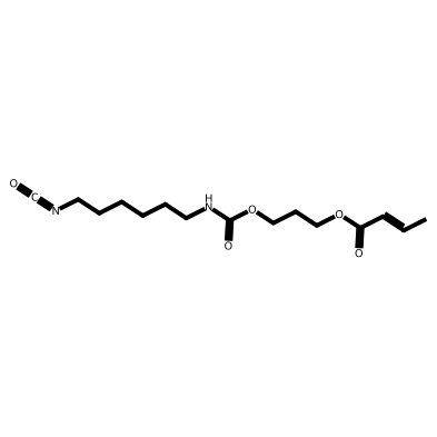 CC=CC(=O)OCCCOC(=O)NCCCCCCN=C=O